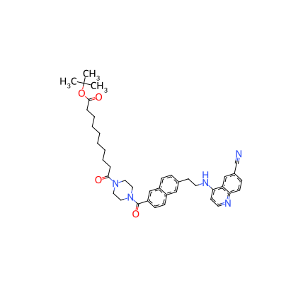 CC(C)(C)OC(=O)CCCCCCCCC(=O)N1CCN(C(=O)c2ccc3cc(CCNc4ccnc5ccc(C#N)cc45)ccc3c2)CC1